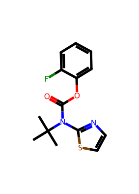 CC(C)(C)N(C(=O)Oc1ccccc1F)c1nccs1